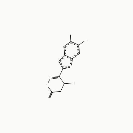 CC1CC(=O)NN=C1c1cc2cc(O)c(O)cc2s1